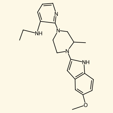 CCNc1cccnc1N1CCN(c2cc3cc(OC)ccc3[nH]2)C(C)C1